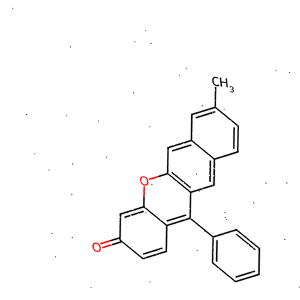 Cc1ccc2cc3c(-c4ccccc4)c4ccc(=O)cc-4oc3cc2c1